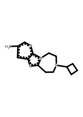 Bc1cnc2c(c1)nc1n2CCN(C2CCC2)CC1